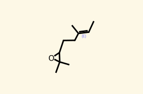 C/C=C(\C)CCC1OC1(C)C